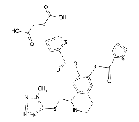 Cn1nnnc1SCC1NCCc2cc(OC(=O)c3cccs3)c(OC(=O)c3cccs3)cc21.O=C(O)/C=C/C(=O)O